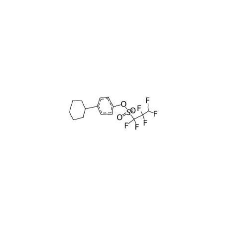 O=S(=O)(Oc1ccc(C2CCCCC2)cc1)C(F)(F)C(F)(F)C(F)F